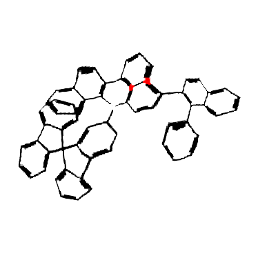 C1=C2C(=CC(N(c3ccc(-c4ccc5ccccc5c4-c4ccccc4)cc3)c3c(-c4ccccc4)ccc4ccccc34)C1)C1(c3ccccc32)c2ccccc2-c2ccccc21